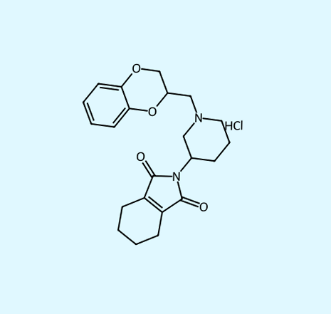 Cl.O=C1C2=C(CCCC2)C(=O)N1C1CCCN(CC2COc3ccccc3O2)C1